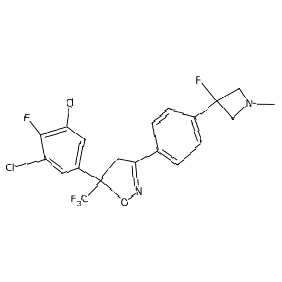 CN1CC(F)(c2ccc(C3=NOC(c4cc(Cl)c(F)c(Cl)c4)(C(F)(F)F)C3)cc2)C1